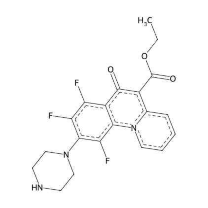 CCOC(=O)c1c(=O)c2c(F)c(F)c(N3CCNCC3)c(F)c2n2ccccc12